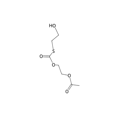 CC(=O)OCCOC(=O)SCCO